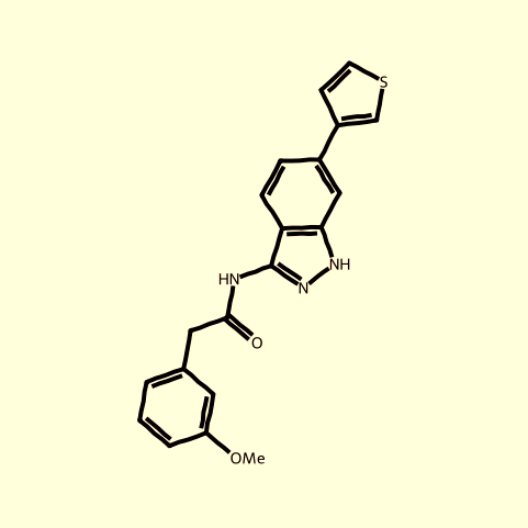 COc1cccc(CC(=O)Nc2n[nH]c3cc(-c4ccsc4)ccc23)c1